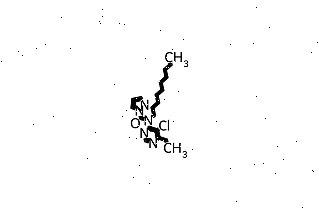 CCCCCCCCCCN(C(=O)n1cccn1)c1ncnc(CC)c1Cl